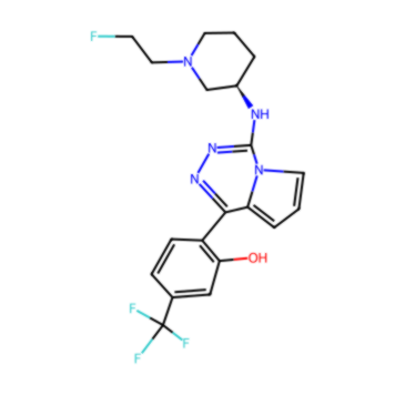 Oc1cc(C(F)(F)F)ccc1-c1nnc(N[C@@H]2CCCN(CCF)C2)n2cccc12